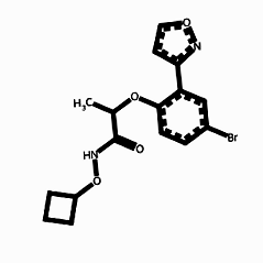 CC(Oc1ccc(Br)cc1-c1ccon1)C(=O)NOC1CCC1